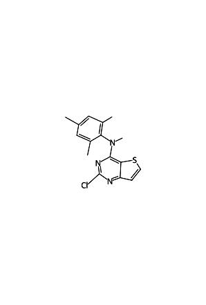 Cc1cc(C)c(N(C)c2nc(Cl)nc3ccsc23)c(C)c1